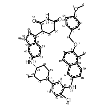 COc1ccc(COc2ccc3cc(Nc4nc(N5CC[C@@H](Nc6ccc7c(C8CCC(=O)NC8=O)nn(C)c7c6)[C@H](C)C5)ncc4Cl)ccc3c2C)cc1